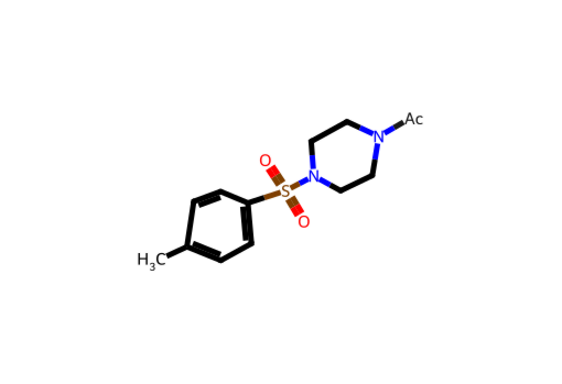 CC(=O)N1CCN(S(=O)(=O)c2ccc(C)cc2)CC1